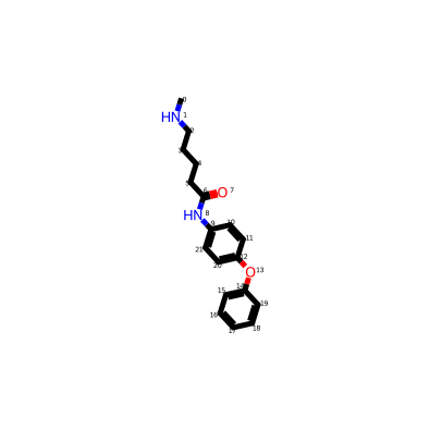 CNCCCCC(=O)Nc1ccc(Oc2ccccc2)cc1